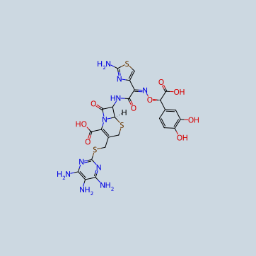 Nc1nc(/C(=N/O[C@@H](C(=O)O)c2ccc(O)c(O)c2)C(=O)NC2C(=O)N3C(C(=O)O)=C(CSc4nc(N)c(N)c(N)n4)CS[C@H]23)cs1